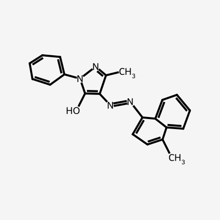 Cc1nn(-c2ccccc2)c(O)c1N=Nc1ccc(C)c2ccccc12